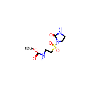 CC(C)(C)OC(=O)NCCS(=O)(=O)N1CCNC1=O